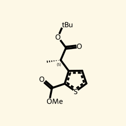 COC(=O)c1sccc1[C@H](C)C(=O)OC(C)(C)C